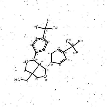 OCC12CO[C@@H](c3ccc(C(F)(F)F)cc3)N1[C@H](C1C=CC(C(F)(F)F)=CC1)OC2